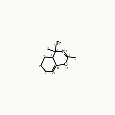 CC1=NC(C)(C(C)C)C2CCCC=C2O1